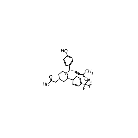 C=C(C)C#C[C@@H](c1ccc(O)cc1)N1CC[C@H](CC(=O)O)C[C@@H]1C1C=CC(C(F)(F)F)=CC1